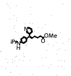 COC(=O)CCCC=C(c1ccc(NC(C)C)cc1)c1cccnc1